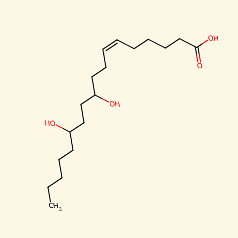 CCCCCC(O)CCC(O)CC/C=C\CCCCC(=O)O